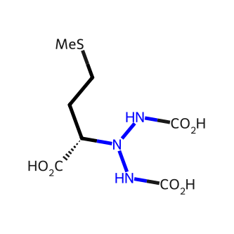 CSCC[C@@H](C(=O)O)N(NC(=O)O)NC(=O)O